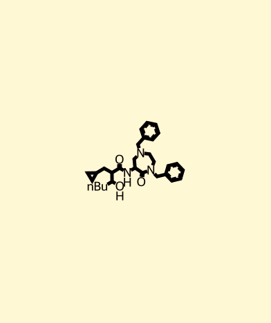 CCCCC(O)C(CC1CC1)C(=O)NC1CN(Cc2ccccc2)CCN(Cc2ccccc2)C1=O